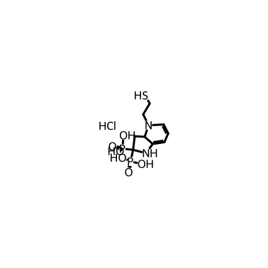 Cl.O=P(O)(O)C1(P(=O)(O)O)CC2C(=CC=CN2CCS)N1